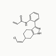 C=CC(=O)Nc1ccccc1-c1n[nH]c2c1CCC(/C=C\Cl)C2